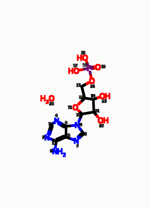 Nc1ncnc2c1ncn2C1OC(COP(=O)(O)O)C(O)C1O.O